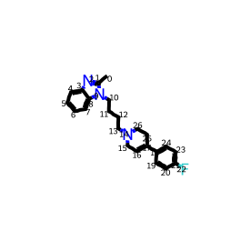 Cc1nc2ccccc2n1CCCCN1CC=C(c2ccc(F)cc2)CC1